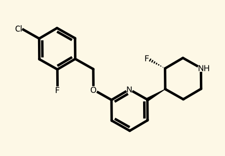 Fc1cc(Cl)ccc1COc1cccc([C@@H]2CCNC[C@H]2F)n1